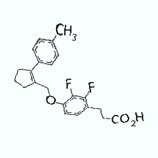 Cc1ccc(C2=C(COc3ccc(CCC(=O)O)c(F)c3F)CCC2)cc1